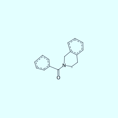 O=C(c1ccccc1)N1[C]Cc2ccccc2C1